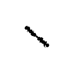 Cn1c2cc3c4ccc5cc(C#Cc6ccc7c(ccc8c9cc%10c(cc9n(C)c78)c7ccc8ccccc8c7n%10C)c6)ccc5c4n(C)c3cc2c2ccc3ccccc3c21